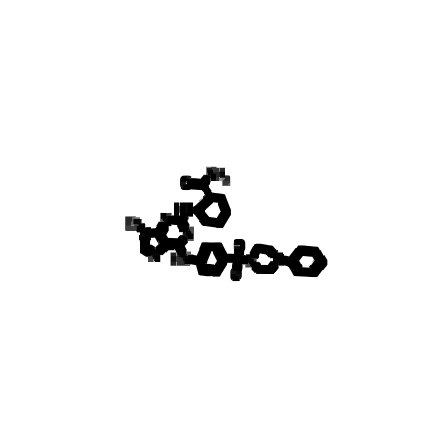 CCn1cnc2c(Nc3ccc(S(=O)(=O)N4CCN(c5ccccc5)CC4)cc3)nc(N[C@@H]3CCCC[C@@H]3C(N)=O)nc21